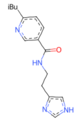 CCC(C)c1ccc(C(=O)NCCc2c[nH]cn2)cn1